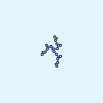 CC1(C)c2ccccc2-c2ccc(-c3ccc4c(c3)c3ccccc3n4-c3ccc(-c4ccc5nc(-c6cccc(-n7c8ccccc8c8cc(-c9ccc%10c(c9)C(C)(C)c9ccccc9-%10)ccc87)c6)nc(-c6cccc(-n7c8ccccc8c8cc(-c9ccc%10c(c9)C(C)(C)c9ccccc9-%10)ccc87)c6)c5c4)cc3)cc21